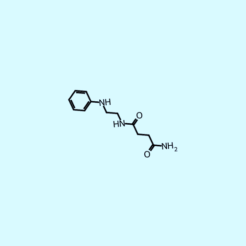 NC(=O)CCC(=O)NCCNc1ccccc1